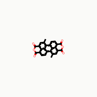 Cc1cc2c3c(ccc4c5c(C)cc6c7c(ccc(c1c34)c75)C(=O)OC6=O)C(=O)OC2=O